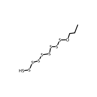 CCCOSSSSSSSSS